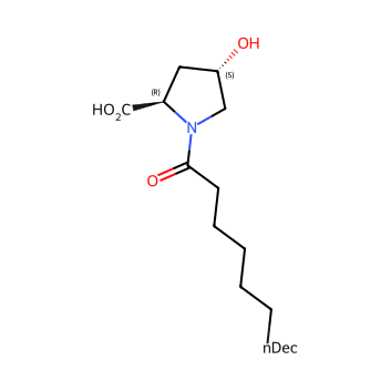 CCCCCCCCCCCCCCCC(=O)N1C[C@@H](O)C[C@@H]1C(=O)O